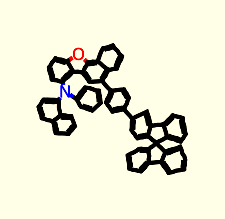 c1ccc(N(c2cccc3ccccc23)c2cccc3oc4c5ccccc5c(-c5ccc(-c6ccc7c(c6)-c6ccccc6C76c7ccccc7-c7ccccc76)cc5)cc4c23)cc1